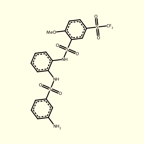 COc1ccc(S(=O)(=O)C(F)(F)F)cc1S(=O)(=O)Nc1ccccc1NS(=O)(=O)c1cccc(N)c1